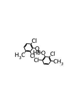 Cc1ccc(Cl)c(OBOc2c(Cl)ccc(C)c2Cl)c1Cl